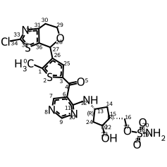 Cc1sc(C(=O)c2cncnc2N[C@@H]2C[C@H](COS(N)(=O)=O)[C@@H](O)C2)cc1C1OCCc2nc(Cl)sc21